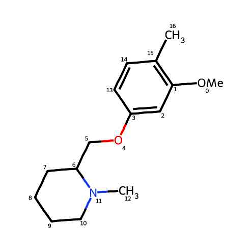 COc1cc(OCC2CCCCN2C)ccc1C